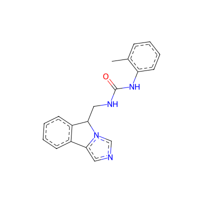 Cc1ccccc1NC(=O)NCC1c2ccccc2-c2cncn21